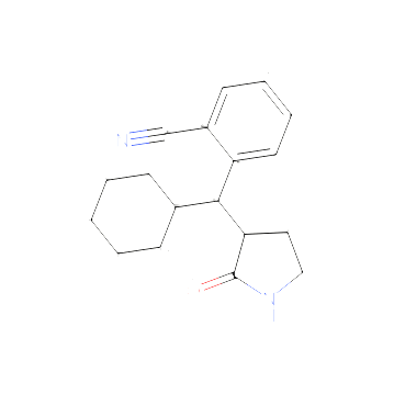 N#Cc1ccccc1C(C1CCCCC1)C1CCNC1=O